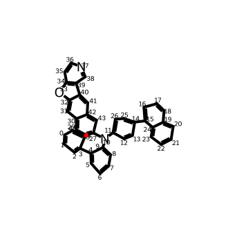 c1ccc(-c2ccccc2N(c2ccc(-c3cccc4ccccc34)cc2)c2ccc3cc4oc5ccncc5c4cc3c2)cc1